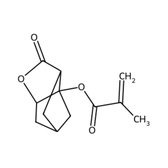 C=C(C)C(=O)OC12CC3CC1OC(=O)C2C3